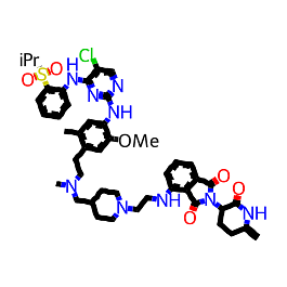 C=C1CCC(N2C(=O)c3cccc(NCCN4CCC(CN(C)CCc5cc(OC)c(Nc6ncc(Cl)c(Nc7ccccc7S(=O)(=O)C(C)C)n6)cc5C)CC4)c3C2=O)C(=O)N1